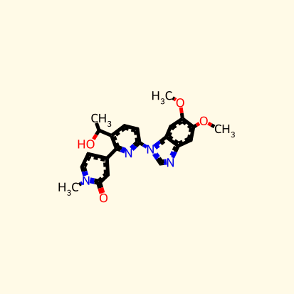 COc1cc2ncn(-c3ccc(C(C)O)c(-c4ccn(C)c(=O)c4)n3)c2cc1OC